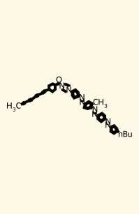 CC#CC#CC#CC#CC1CCC(C(=O)N2CCN(c3ccc(N=Nc4ccc(N=Nc5ccc(N=Nc6ccc(CCCC)cc6)cc5)c(C)c4)cc3)CC2)CC1